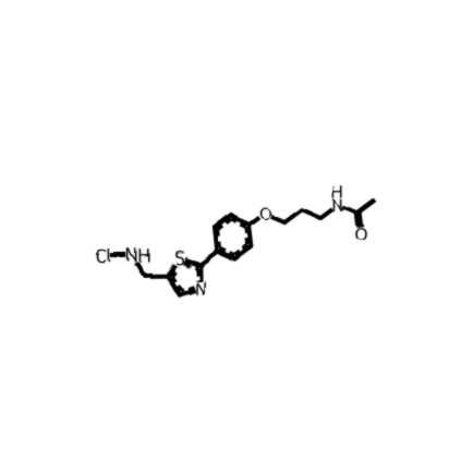 CC(=O)NCCCOc1ccc(-c2ncc(CNCl)s2)cc1